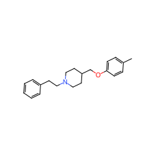 Cc1ccc(OCC2CCN(CCc3ccccc3)CC2)cc1